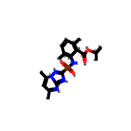 Cc1cc(C)n2nc(S(=O)(=O)Nc3c(C)ccc(C)c3C(=O)OC(C)C)nc2n1